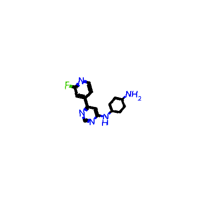 NC1CCC(Nc2cc(-c3ccnc(F)c3)ncn2)CC1